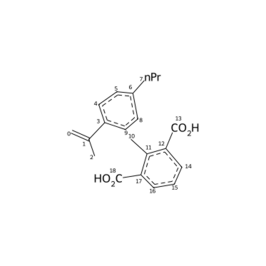 C=C(C)c1ccc(CCC)cc1.Cc1c(C(=O)O)cccc1C(=O)O